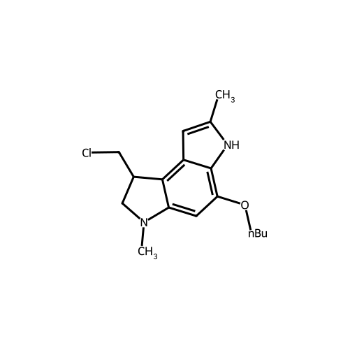 CCCCOc1cc2c(c3cc(C)[nH]c13)C(CCl)CN2C